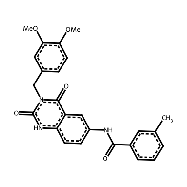 COc1ccc(Cn2c(=O)[nH]c3ccc(NC(=O)c4cccc(C)c4)cc3c2=O)cc1OC